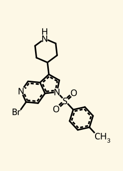 Cc1ccc(S(=O)(=O)n2cc(C3CCNCC3)c3cnc(Br)cc32)cc1